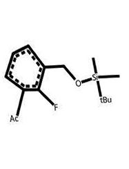 CC(=O)c1cccc(CO[Si](C)(C)C(C)(C)C)c1F